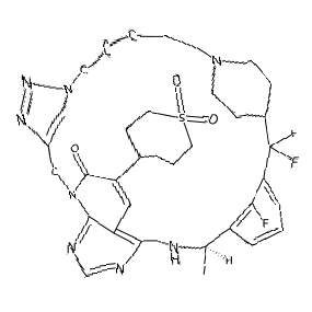 C[C@H]1Nc2ncnc3c2cc(C2CCS(=O)(=O)CC2)c(=O)n3Cc2cn(nn2)CCCCN2CCC(CC2)C(F)(F)c2cccc1c2F